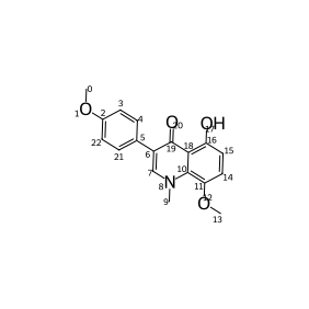 COc1ccc(-c2cn(C)c3c(OC)ccc(O)c3c2=O)cc1